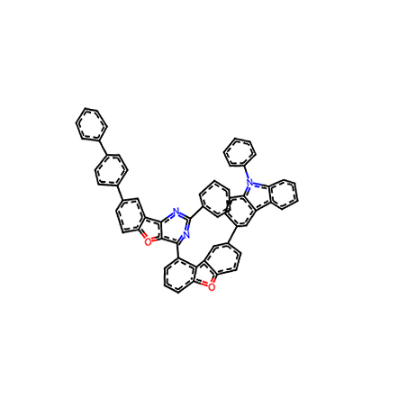 c1ccc(-c2ccc(-c3ccc4oc5c(-c6cccc7oc8ccc(-c9ccc%10c(c9)c9ccccc9n%10-c9ccccc9)cc8c67)nc(-c6ccccc6)nc5c4c3)cc2)cc1